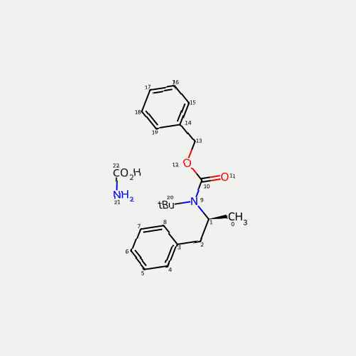 C[C@@H](Cc1ccccc1)N(C(=O)OCc1ccccc1)C(C)(C)C.NC(=O)O